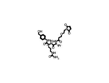 CC(C)[C@@H](NC(=O)CCOCCN1C(=O)C=CC1=O)C(=O)N[C@@H](CCCNC(N)=O)C(=O)Nc1ccc(CO)cc1